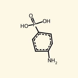 Nc1ccc(P(=O)(O)O)cc1